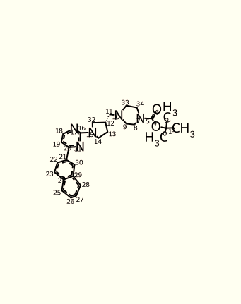 CC(C)(C)OC(=O)N1CCN(C[C@@H]2CCN(c3nccc(-c4ccc5ccccc5c4)n3)C2)CC1